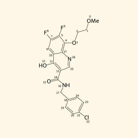 COCCOc1c(F)c(F)cc2c(O)c(C(=O)NCc3ccc(Cl)cc3)cnc12